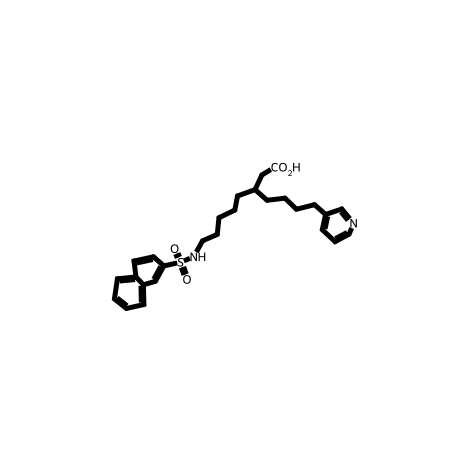 O=C(O)CC(CCCCCNS(=O)(=O)c1ccc2ccccc2c1)CCCCc1cccnc1